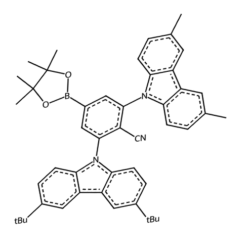 Cc1ccc2c(c1)c1cc(C)ccc1n2-c1cc(B2OC(C)(C)C(C)(C)O2)cc(-n2c3ccc(C(C)(C)C)cc3c3cc(C(C)(C)C)ccc32)c1C#N